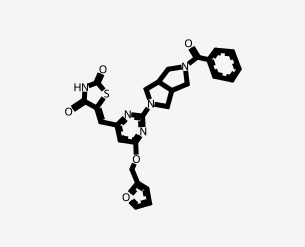 O=C1NC(=O)C(=Cc2cc(OCc3ccco3)nc(N3CC4CN(C(=O)c5ccccc5)CC4C3)n2)S1